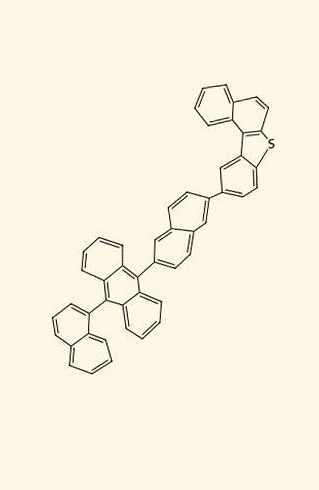 c1ccc2c(-c3c4ccccc4c(-c4ccc5cc(-c6ccc7sc8ccc9ccccc9c8c7c6)ccc5c4)c4ccccc34)cccc2c1